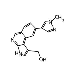 Cn1cc(-c2ccc3cnc4[nH]cc(CO)c4c3c2)cn1